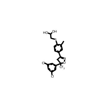 Cc1cc(C2=NOC(c3cc(Cl)cc(Cl)c3)(C(F)(F)F)C2)ccc1SCC(O)O